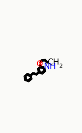 C=C1CCOc2cc(CCc3ccccc3)ccc2N1